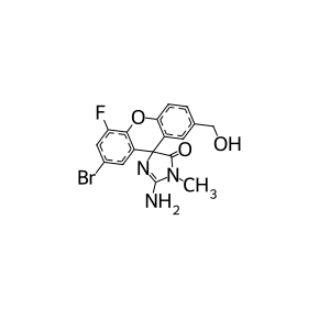 CN1C(=O)C2(N=C1N)c1cc(CO)ccc1Oc1c(F)cc(Br)cc12